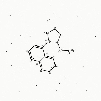 CCCOC1CC[N]N1c1cccc2ccccc12